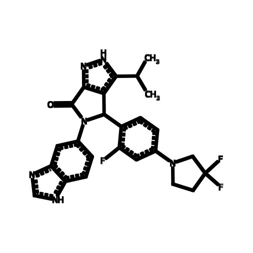 CC(C)c1[nH]nc2c1C(c1ccc(N3CCC(F)(F)C3)cc1F)N(c1ccc3[nH]cnc3c1)C2=O